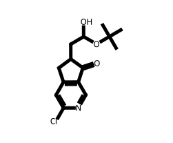 CC(C)(C)OC(O)CC1Cc2cc(Cl)ncc2C1=O